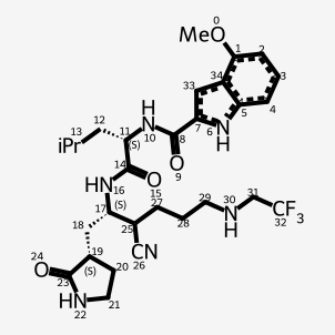 COc1cccc2[nH]c(C(=O)N[C@@H](CC(C)C)C(=O)N[C@@H](C[C@@H]3CCNC3=O)C(C#N)CCCNCC(F)(F)F)cc12